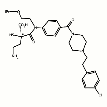 CC(C)OCCN(C(=O)[C@](S)(CCN)C(=O)O)c1ccc(C(=O)N2CCN(CCc3ccc(Cl)cc3)CC2)cc1